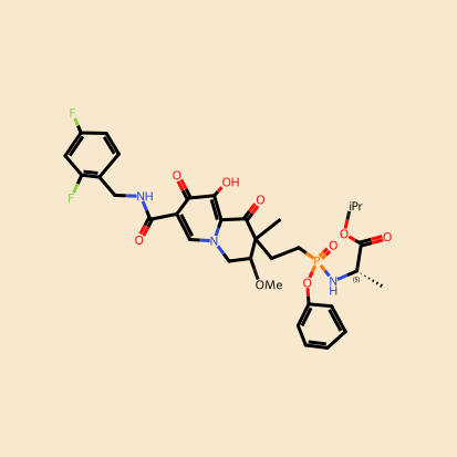 COC1Cn2cc(C(=O)NCc3ccc(F)cc3F)c(=O)c(O)c2C(=O)C1(C)CCP(=O)(N[C@@H](C)C(=O)OC(C)C)Oc1ccccc1